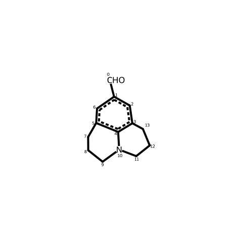 O=Cc1cc2c3c(c1)CCCN3CCC2